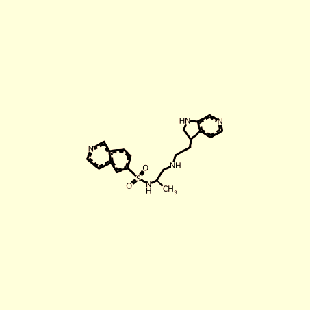 C[C@H](CNCCC1CNc2cnccc21)NS(=O)(=O)c1ccc2cnccc2c1